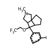 CN1CC2C3(CCCC3C2(OCC(F)(F)F)c2cccc(I)c2)C1